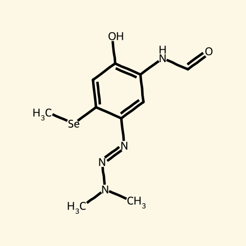 C[Se]c1cc(O)c(NC=O)cc1N=NN(C)C